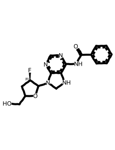 O=C(Nc1ncnc2c1NCN2C1OC(CO)C[C@H]1F)c1ccccc1